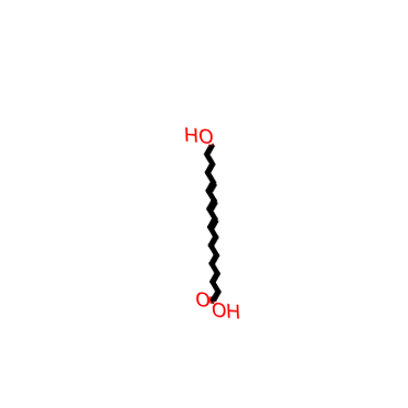 O=C(O)CCCCCCCC=CC=CC=CCCCCO